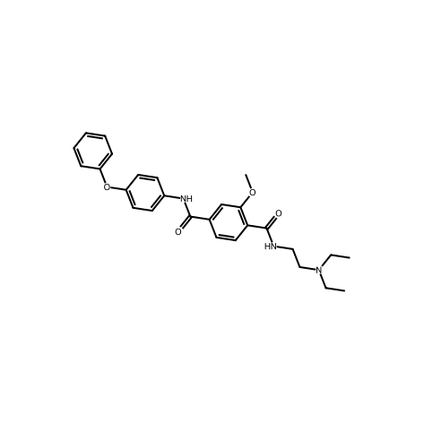 CCN(CC)CCNC(=O)c1ccc(C(=O)Nc2ccc(Oc3ccccc3)cc2)cc1OC